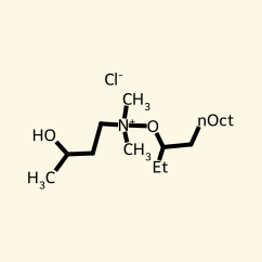 CCCCCCCCCC(CC)O[N+](C)(C)CCC(C)O.[Cl-]